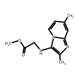 COC(=O)CNc1c(C)nc2cc(C)ccn12